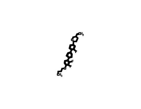 C=CC1CCC(c2ccc(-c3ccc(-c4ccc(OCCCC)c(F)c4F)cc3)c(F)c2)OC1